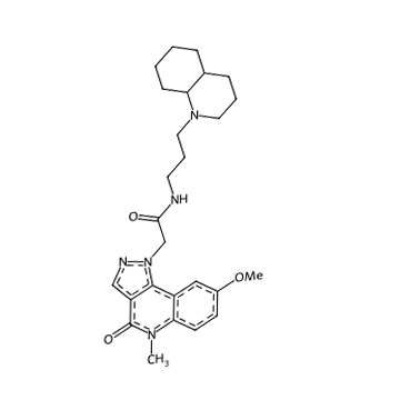 COc1ccc2c(c1)c1c(cnn1CC(=O)NCCCN1CCCC3CCCCC31)c(=O)n2C